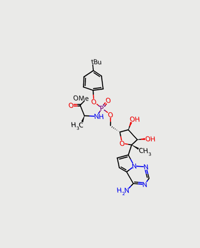 COC(=O)[C@H](C)NP(=O)(OC[C@H]1O[C@@](C)(c2ccc3c(N)ncnn23)[C@H](O)[C@@H]1O)Oc1ccc(C(C)(C)C)cc1